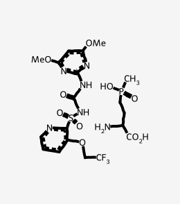 COc1cc(OC)nc(NC(=O)NS(=O)(=O)c2ncccc2OCC(F)(F)F)n1.CP(=O)(O)CCC(N)C(=O)O